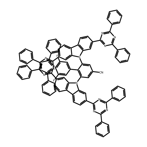 N#Cc1cc(-n2c3cc(-c4nc(-c5ccccc5)nc(-c5ccccc5)n4)ccc3c3ccc(-c4nc(-c5ccccc5)nc(-c5ccccc5)n4)cc32)c(-c2cc(F)cc(F)c2)c(-n2c3cc(-c4nc(-c5ccccc5)nc(-c5ccccc5)n4)ccc3c3ccc(-c4nc(-c5ccccc5)nc(-c5ccccc5)n4)cc32)c1